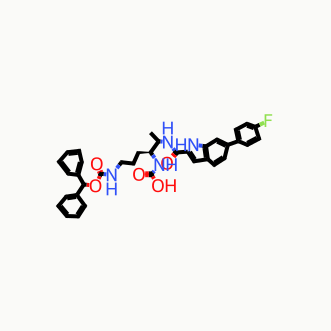 CC(NC(=O)c1cc2ccc(-c3ccc(F)cc3)cc2[nH]1)[C@H](CCCNC(=O)OC(c1ccccc1)c1ccccc1)NC(=O)O